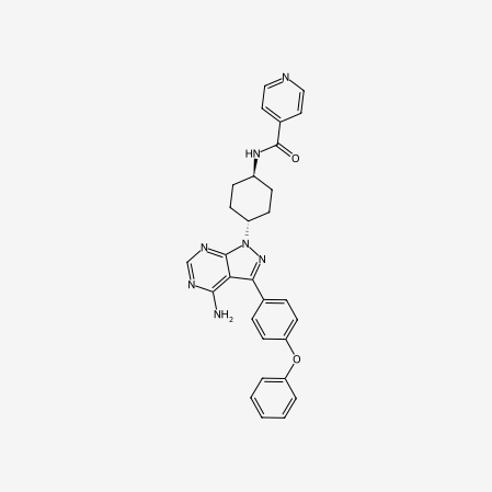 Nc1ncnc2c1c(-c1ccc(Oc3ccccc3)cc1)nn2[C@H]1CC[C@H](NC(=O)c2ccncc2)CC1